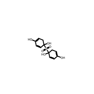 O=S(=O)(C1(O)C=CC(O)=CC1)C1(O)C=CC(O)=CC1